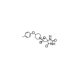 Cc1ccc(OC2CCN(S(=O)(=O)CC3(C)NC(=O)NC3=O)CC2)cc1